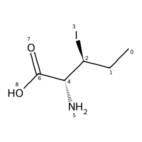 CC[C@H](I)[C@H](N)C(=O)O